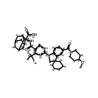 COC1CCN(C(=O)c2ccc3c(c2)C2(CCCCC2)CN3c2ncc(C(=O)NC3(C(=O)O)C4CC5CC(C4)CC3C5)c(C(C)(F)F)n2)CC1